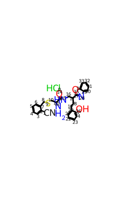 Cl.N#Cc1ccccc1CSCC(N)C(=O)NCC(CCc1ccccc1O)c1nc2ccccc2o1